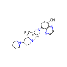 N#Cc1ccc(N2C[C@H](CN3CCC(N4CCCCC4)CC3)[C@@H](C(F)(F)F)C2)c2nccnc12